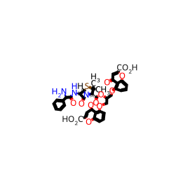 CC1(C)S[C@@H]2[C@H](NC(=O)[C@H](N)c3ccccc3)C(=O)N2[C@H]1C(=O)OC(COc1cccc2oc(C(=O)O)cc(=O)c12)COc1cccc2oc(C(=O)O)cc(=O)c12